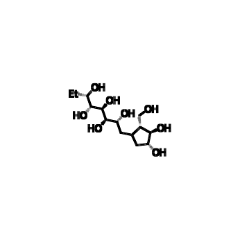 CC[C@H](O)[C@@H](O)[C@@H](O)[C@H](O)[C@H](O)CC1C[C@@H](O)[C@H](O)[C@H]1CO